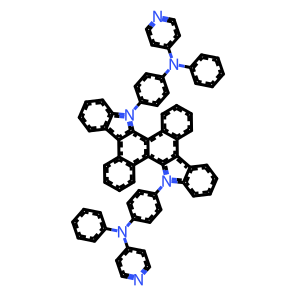 c1ccc(N(c2ccncc2)c2ccc(-n3c4ccccc4c4c5ccccc5c5c(c6ccccc6c6c7ccccc7n(-c7ccc(N(c8ccccc8)c8ccncc8)cc7)c65)c43)cc2)cc1